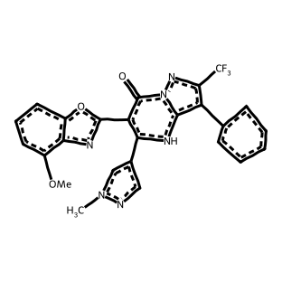 COc1cccc2oc(-c3c(-c4cnn(C)c4)[nH]c4c(-c5ccccc5)c(C(F)(F)F)nn4c3=O)nc12